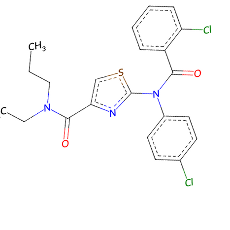 CCCN(CC)C(=O)c1csc(N(C(=O)c2ccccc2Cl)c2ccc(Cl)cc2)n1